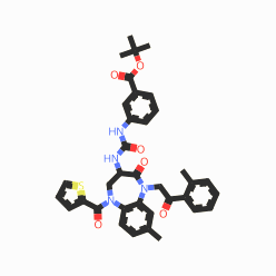 Cc1ccc2c(c1)N(CC(=O)c1ccccc1C)C(=O)C(NC(=O)Nc1cccc(C(=O)OC(C)(C)C)c1)CN2C(=O)c1cccs1